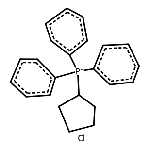 [Cl-].c1ccc([P+](c2ccccc2)(c2ccccc2)C2CCCC2)cc1